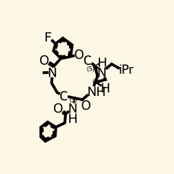 CC(C)CN1C[C@H]2C[C@H]1COc1ccc(F)cc1C(=O)N(C)CCC[C@H](NC(=O)Cc1ccccc1)C(=O)N2